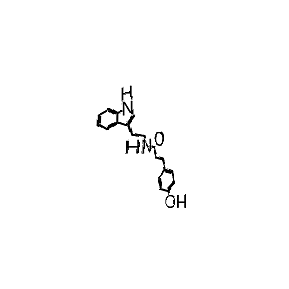 O=C(CCc1ccc(O)cc1)NCCc1c[nH]c2ccccc12